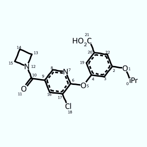 CC(C)Oc1cc(Oc2ncc(C(=O)N3CCC3)cc2Cl)cc(C(=O)O)c1